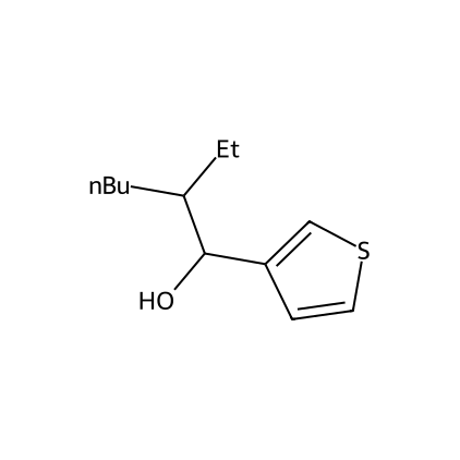 CCCCC(CC)C(O)c1ccsc1